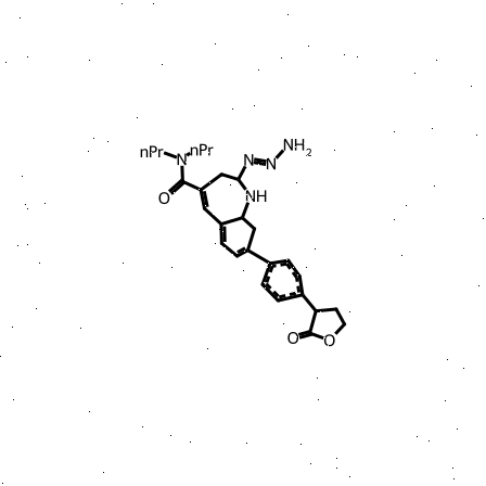 CCCN(CCC)C(=O)C1=CC2=CC=C(c3ccc(C4CCOC4=O)cc3)CC2NC(N=NN)C1